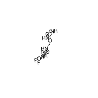 O=C1Nc2cc(C=CCNC(=O)c3cccc(Nc4ccc(F)c(F)c4)n3)ccc2C1=Cc1ccc[nH]1